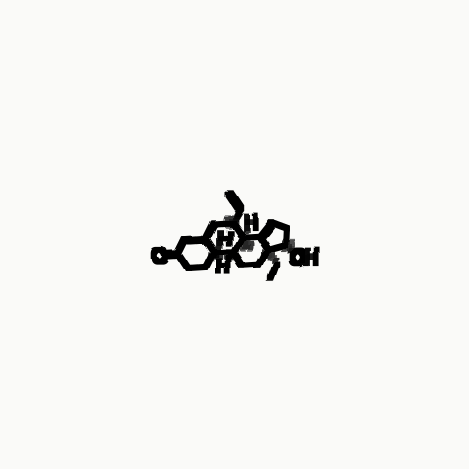 C=C[C@@H]1CC2=CC(=O)CC[C@@H]2[C@H]2CC[C@@]3(CC)C(=CC[C@@H]3O)[C@@H]21